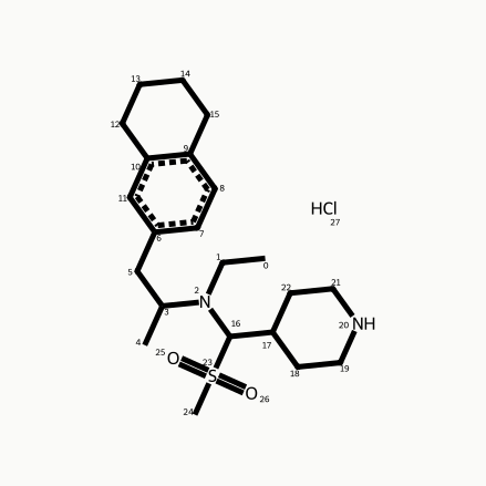 CCN(C(C)Cc1ccc2c(c1)CCCC2)C(C1CCNCC1)S(C)(=O)=O.Cl